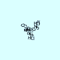 CCN(CC)C(=O)C(Cc1ccc(NC(=O)c2ccncc2)cc1)C(=O)NS(=O)(=O)c1ccc2ccccc2c1.Cl